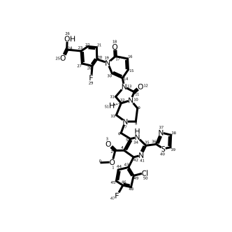 COC(=O)C1=C(CN2CCN3C(=O)N(c4ccc(=O)n(-c5ccc(C(=O)O)cc5F)c4)C[C@@H]3C2)NC(c2nccs2)=NC1c1ccc(F)cc1Cl